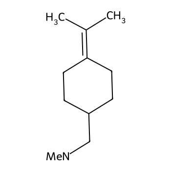 CNCC1CCC(=C(C)C)CC1